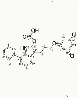 Cc1ccccc1-c1cccc2c(CCCOc3cc(Cl)cc(Cl)c3)c(OC(=O)O)[nH]c12